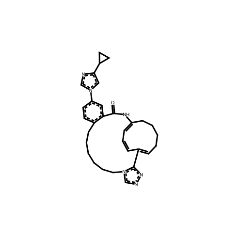 O=C1N/C2=C/C=C\C(=C\CCCC2)c2nncn2CCCCCCc2ccc(-n3cnc(C4CC4)c3)cc21